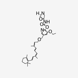 CCOc1cc(COCC=C(C)C=CC=C(C)C=CC2=C(C)CCCC2(C)C)cnc1OC(=O)NC(=O)CN